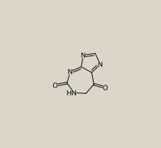 O=C1N=C2N=CN=C2C(=O)CN1